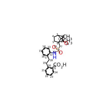 CC1(C)C2CCC1(CS(=O)(=O)Nc1ccccc1CCc1ccccc1C(=O)O)C(=O)C2